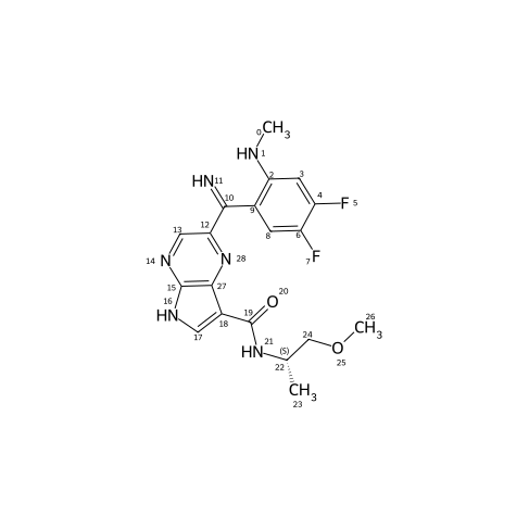 CNc1cc(F)c(F)cc1C(=N)c1cnc2[nH]cc(C(=O)N[C@@H](C)COC)c2n1